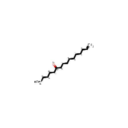 C=CCCCCCCCCC(=O)CCCCCCCCCCCCCC